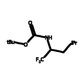 CC(C)CC(NC(=O)OC(C)(C)C)C(F)(F)F